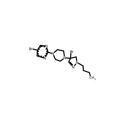 CCCCN1CC(Br)(N2CCN(c3ncc(Br)cn3)CC2)C=N1